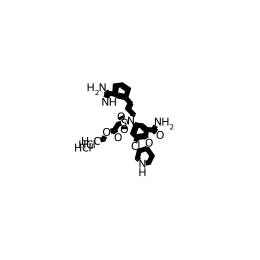 CCOC(=O)CS(=O)(=O)N(C/C=C/c1cccc(C(=N)N)c1)c1cc(Cl)c(OC2CCNCC2)c(C(N)=O)c1.Cl.Cl